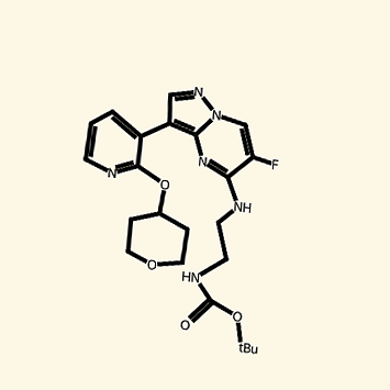 CC(C)(C)OC(=O)NCCNc1nc2c(-c3cccnc3OC3CCOCC3)cnn2cc1F